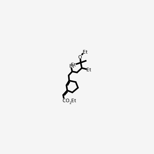 CCOC(=O)/C=C1/C=C(CC(CC)CC(CC)C(C)(CC)OCC)CCC1